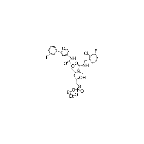 CCOP(=O)(OCC)OC[C@H](O)C[C@@H](COC(=O)Nc1cc(-c2cccc(F)c2)on1)N(C)C(=O)NCc1cccc(F)c1Cl